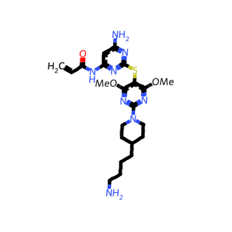 C=CC(=O)Nc1cc(N)nc(Sc2c(OC)nc(N3CCC(CCCCN)CC3)nc2OC)n1